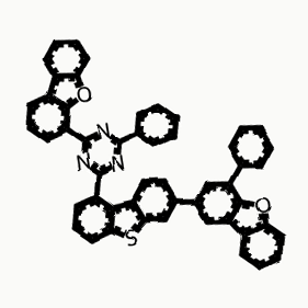 c1ccc(-c2nc(-c3cccc4c3oc3ccccc34)nc(-c3cccc4sc5cc(-c6cc(-c7ccccc7)c7oc8ccccc8c7c6)ccc5c34)n2)cc1